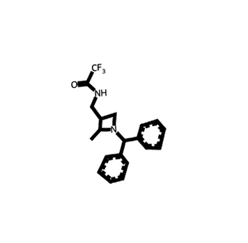 CC1C(CNC(=O)C(F)(F)F)CN1C(c1ccccc1)c1ccccc1